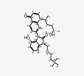 C[C@H](O)CC[C@H](C)n1ccc(=O)c2ccc(-n3c(=O)n(COCC[Si](C)(C)C)c4nccc(O)c43)nc21